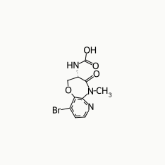 CN1C(=O)[C@@H](NC(=O)O)COc2c(Br)ccnc21